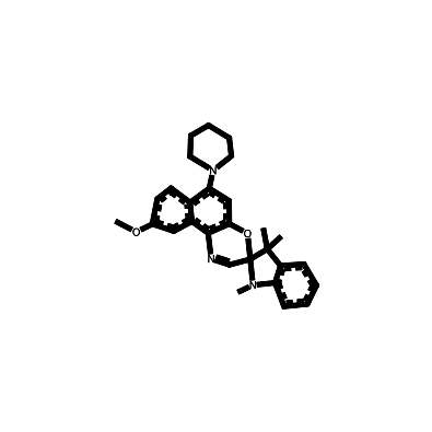 COc1ccc2c(N3CCCCC3)cc3c(c2c1)N=CC1(O3)N(C)c2ccccc2C1(C)C